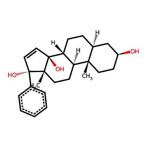 C[C@]12CC[C@H](O)C[C@@H]1CC[C@@H]1[C@@H]2CC[C@]2(C)[C@@](O)(c3ccccc3)C=C[C@]12O